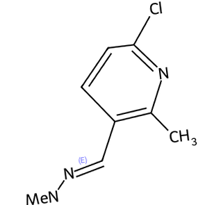 CN/N=C/c1ccc(Cl)nc1C